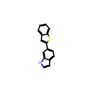 c1ccc2sc(-c3ccc4cc[nH]c4c3)cc2c1